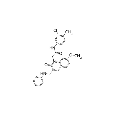 COc1ccc2cc(CNc3ccccc3)c(=O)n(CC(=O)Nc3ccc(C)c(Cl)c3)c2c1